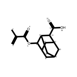 C=C(C)C(=O)OC1C2CC3CC(C2)C(C(=O)O)C1C3